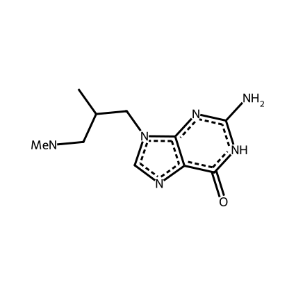 CNCC(C)Cn1cnc2c(=O)[nH]c(N)nc21